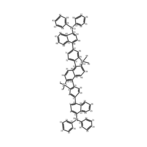 C[Si]1(C)c2cc(-c3ccc(N(c4ccccc4)c4ccccc4)c4ccccc34)ccc2-c2c1ccc1c3c(ccc21)[Si](C)(C)c1cc(-c2ccc(N(c4ccccc4)c4ccccc4)c4ccccc24)ccc1-3